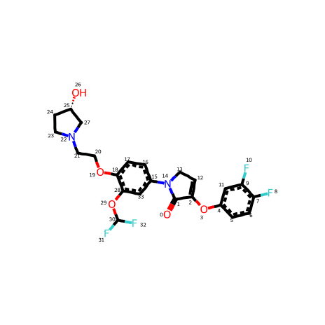 O=C1C(Oc2ccc(F)c(F)c2)=CCN1c1ccc(OCCN2CC[C@H](O)C2)c(OC(F)F)c1